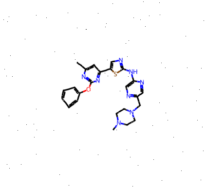 Cc1cc(-c2cnc(Nc3cnc(CN4CCN(C)CC4)cn3)s2)nc(Oc2ccccc2)n1